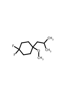 COC1(CC(C)C)CCC(F)(F)CC1